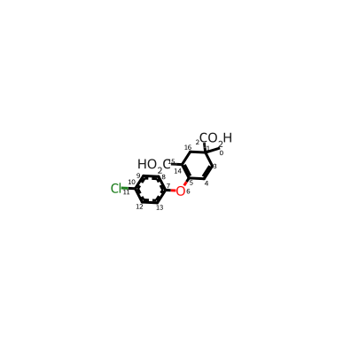 CC1(C(=O)O)C=CC(Oc2ccc(Cl)cc2)=C(C(=O)O)C1